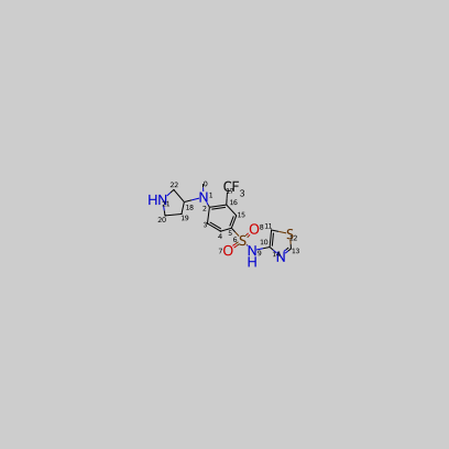 CN(c1ccc(S(=O)(=O)Nc2cscn2)cc1C(F)(F)F)C1CCNC1